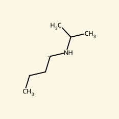 CCC[CH]NC(C)C